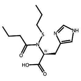 CCCSN(C(=O)CCC)[C@@H](Cc1c[nH]cn1)C(=O)O